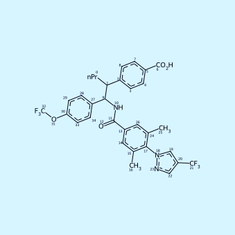 CCCC(c1ccc(C(=O)O)cc1)C(NC(=O)c1cc(C)c(-n2cc(C(F)(F)F)cn2)c(C)c1)c1ccc(OC(F)(F)F)cc1